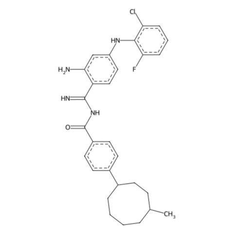 CC1CCCCC(c2ccc(C(=O)NC(=N)c3ccc(Nc4c(F)cccc4Cl)cc3N)cc2)CC1